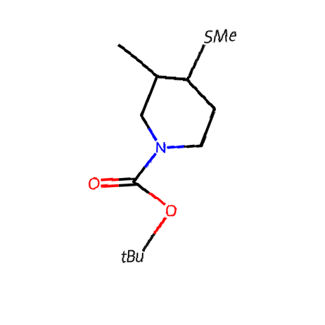 CSC1CCN(C(=O)OC(C)(C)C)CC1C